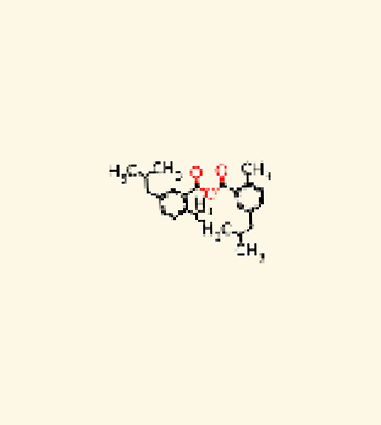 Cc1ccc(CC(C)C)cc1C(=O)OC(=O)c1cc(CC(C)C)ccc1C